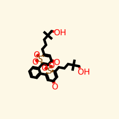 CC(C)(CO)CCCC1=CC(=O)C=C(c2ccccc2C2=CC(=O)C=C(CCCC(C)(C)CO)S2(=O)=O)S1(=O)=O